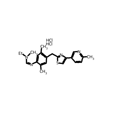 CCN(C)/C=N\c1cc(C)c(Cc2nc(-c3ccc(C)nc3)cs2)cc1C.Cl.Cl